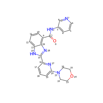 O=C(Nc1cccnc1)c1cccc2[nH]c(-c3cccc(N4CCOCC4)n3)nc12